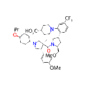 COC[C@@H]1C[C@@H](c2ccc(C(F)(F)F)cc2N2CCC(C(=O)O)CC2)CN1C(=O)[C@]1(C)CN([C@H]2CC[C@H](OC(C)C)CC2)C[C@H]1c1ccc(OC)cc1